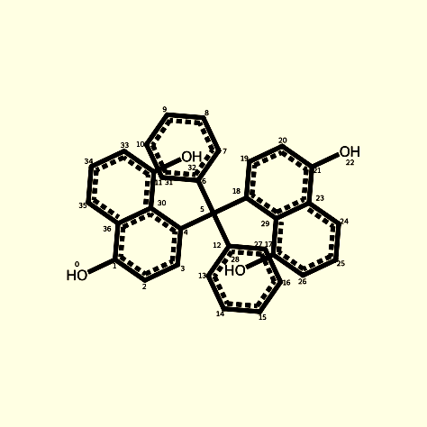 Oc1ccc(C(c2ccccc2)(c2ccccc2)c2ccc(O)c3cccc(O)c23)c2c(O)cccc12